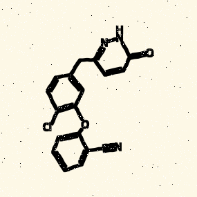 N#Cc1ccccc1Oc1cc(Cc2ccc(=O)[nH]n2)ccc1Cl